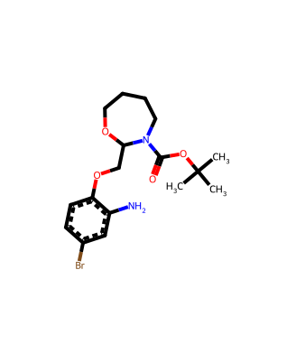 CC(C)(C)OC(=O)N1CCCCOC1COc1ccc(Br)cc1N